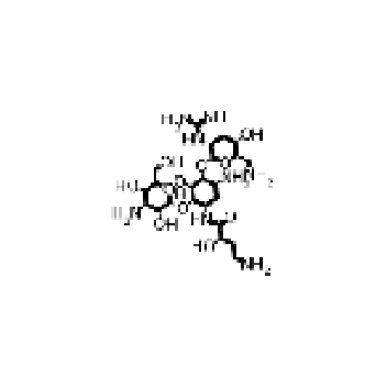 N=C(N)N[C@@H]1C[C@H](O)[C@@H](CN)O[C@@H]1O[C@H]1[C@H](O)[C@@H](O[C@H]2O[C@H](CO)[C@@H](O)[C@H](N)[C@H]2O)[C@H](NC(=O)[C@@H](O)CCN)C[C@@H]1N